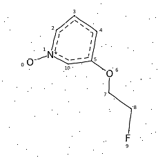 [O-][n+]1cccc(OCCF)c1